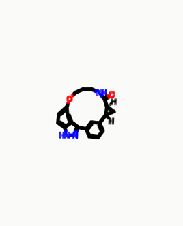 O=C1NCCCOc2ccc3[nH]nc(c3c2)-c2cccc(c2)[C@H]2C[C@H]12